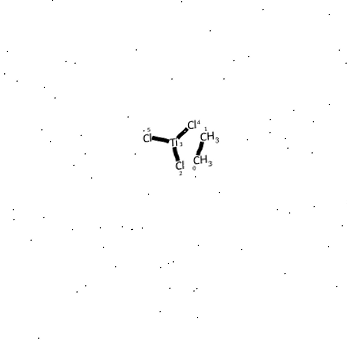 CC.[Cl][Ti]([Cl])[Cl]